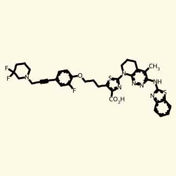 Cc1c(Nc2nc3ccccc3s2)nnc2c1CCCN2c1nc(C(=O)O)c(CCCOc2ccc(C#CCN3CCCC(F)(F)C3)cc2F)s1